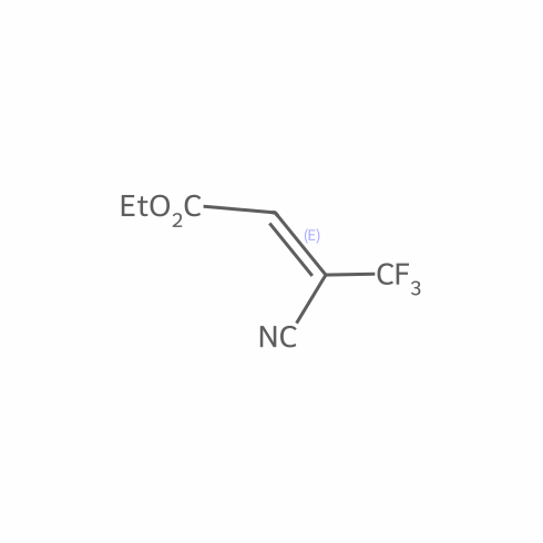 CCOC(=O)/C=C(\C#N)C(F)(F)F